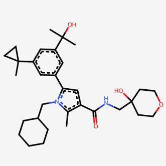 Cc1c(C(=O)NCC2(O)CCOCC2)cc(-c2cc(C(C)(C)O)cc(C3(C)CC3)c2)n1CC1CCCCC1